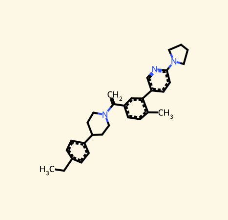 C=C(c1ccc(C)c(-c2ccc(N3CCCC3)nc2)c1)N1CCC(c2ccc(CC)cc2)CC1